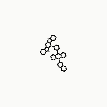 c1cc(-c2c3ccccc3c(-c3ccc4ccccc4c3)c3ccccc23)cc(-c2c3sc4ccccc4c3cc3sc4ccccc4c23)c1